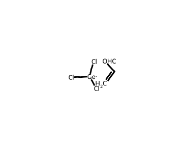 C=CC=O.[Cl][Ge]([Cl])[Cl]